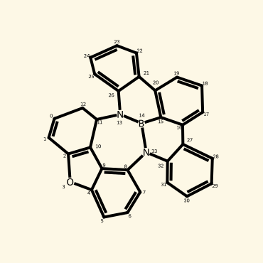 C1=Cc2oc3cccc4c3c2C(C1)N1B2c3c(cccc3-c3ccccc31)-c1ccccc1N24